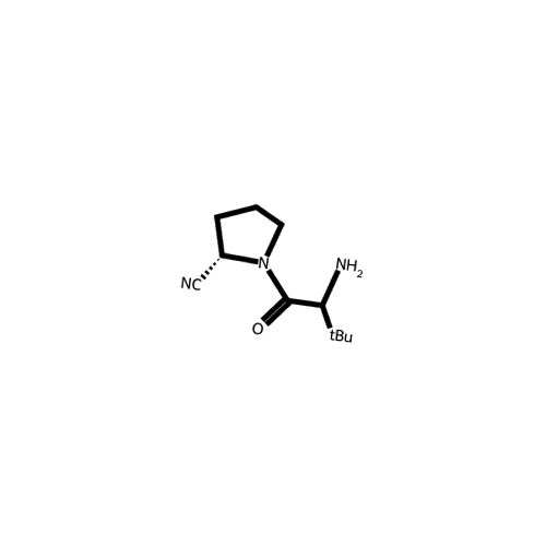 CC(C)(C)C(N)C(=O)N1CCC[C@H]1C#N